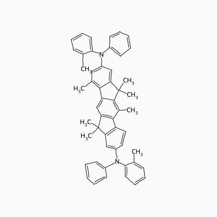 Cc1ccccc1N(c1ccccc1)c1ccc2c(c1)C(C)(C)c1cc3c(c(C)c1-2)C(C)(C)c1cc(N(c2ccccc2)c2ccccc2C)cc(C)c1-3